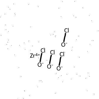 [O-]Cl.[O-]Cl.[O-]Cl.[O-]Cl.[Zr+4]